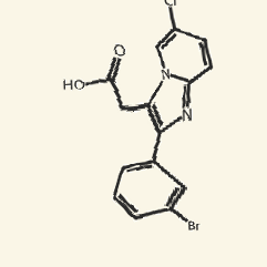 O=C(O)Cc1c(-c2cccc(Br)c2)nc2ccc(Cl)cn12